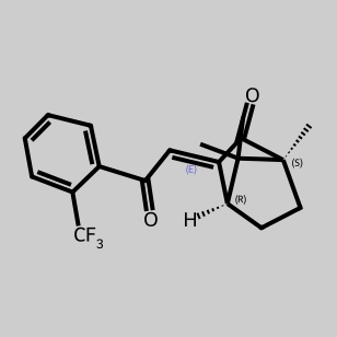 CC1(C)[C@H]2CC[C@]1(C)C(=O)/C2=C/C(=O)c1ccccc1C(F)(F)F